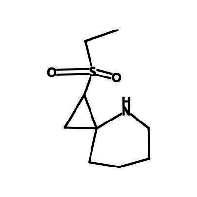 CCS(=O)(=O)C1CC12CCCCN2